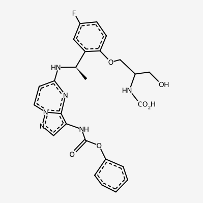 C[C@@H](Nc1ccn2ncc(NC(=O)Oc3ccccc3)c2n1)c1cc(F)ccc1OCC(CO)NC(=O)O